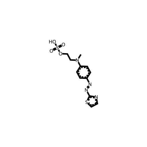 CN(CCOS(=O)(=O)O)c1ccc(N=Nc2nccs2)cc1